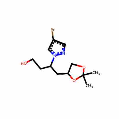 CC1(C)OCC(CC(CCO)n2cc(Br)cn2)O1